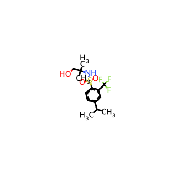 CC(C)c1ccc(S(=O)(=O)NC(C)(C)CO)c(C(F)(F)F)c1